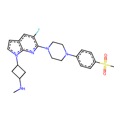 CNC1CC(n2ccc3cc(F)c(N4CCN(c5ccc(S(C)(=O)=O)cc5)CC4)nc32)C1